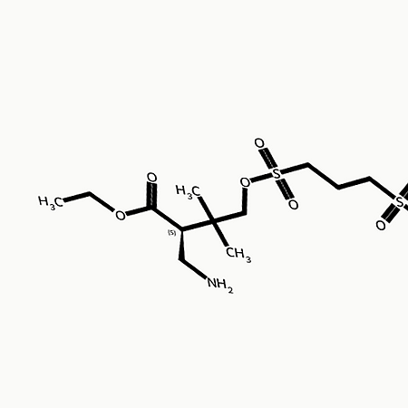 CCOC(=O)[C@H](CN)C(C)(C)COS(=O)(=O)CCCS(=O)(=O)O